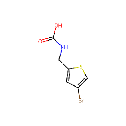 O=C(O)NCc1cc(Br)cs1